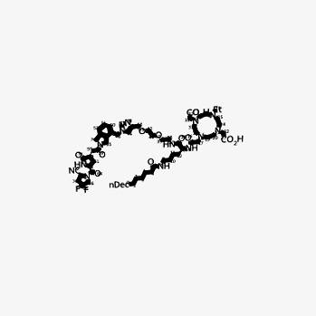 CCCCCCCCCCCCCCCC(=O)NCCCC[C@H](NC(=O)CN1CCN(CC(=O)O)CCN(CC)CCN(CC(=O)O)CC1)C(=O)NCCOCCOCc1cn(Cc2cccc3c2CN(C(=O)C[C@@H]2C[C@@H](C(=O)N4CC(F)(F)C[C@H]4C#N)NC2=O)C3)nn1